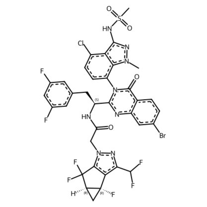 Cn1nc(NS(C)(=O)=O)c2c(Cl)ccc(-n3c([C@H](Cc4cc(F)cc(F)c4)NC(=O)Cn4nc(C(F)F)c5c4C(F)(F)[C@@H]4C[C@]54F)nc4cc(Br)ccc4c3=O)c21